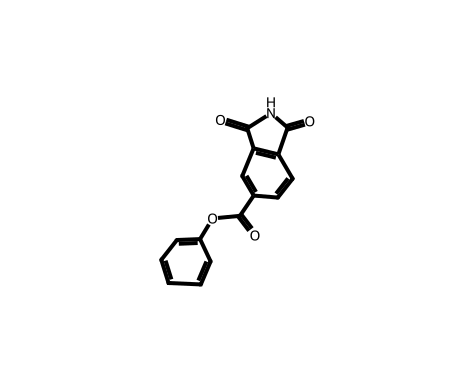 O=C(Oc1ccccc1)c1ccc2c(c1)C(=O)NC2=O